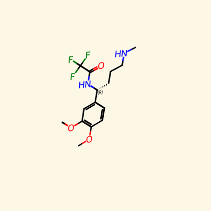 CNCCC[C@@H](NC(=O)C(F)(F)F)c1ccc(OC)c(OC)c1